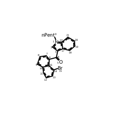 CCCCCn1cc(C(=O)c2cccc3cccc(Br)c23)c2ccccc21